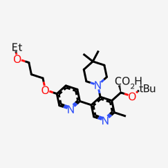 CCOCCCOc1ccc(-c2cnc(C)c([C@H](OC(C)(C)C)C(=O)O)c2N2CCC(C)(C)CC2)nc1